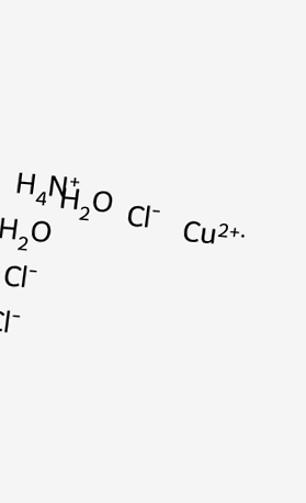 O.O.[Cl-].[Cl-].[Cl-].[Cu+2].[NH4+]